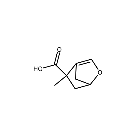 CC1(C(=O)O)CC2CC1=CO2